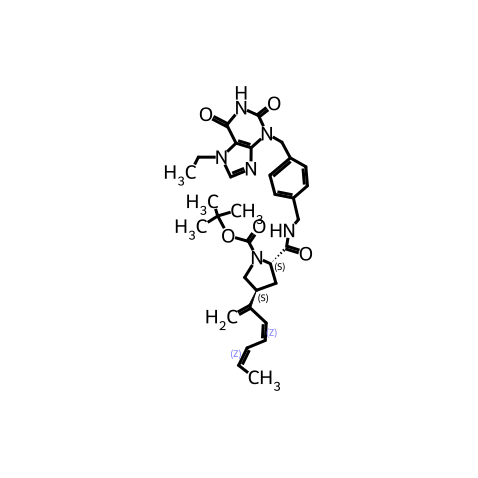 C=C(/C=C\C=C/C)[C@@H]1C[C@@H](C(=O)NCc2ccc(Cn3c(=O)[nH]c(=O)c4c3ncn4CC)cc2)N(C(=O)OC(C)(C)C)C1